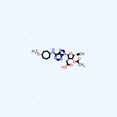 C#C[C@H]1O[C@@H](n2cnc3c(N[C@@H]4CCC[C@H](OC)CC4)ncnc32)[C@H](CC(=O)O)[C@H]1OC(C)=O